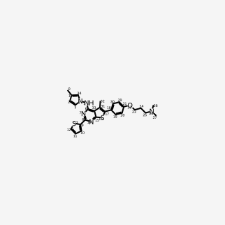 Cc1ccn(Nc2nc(-c3cccs3)nc3sc(-c4ccc(OCCCN(C)C)cc4)c(C)c23)c1